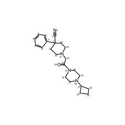 N#CC1(c2ccccc2)CCN(CC(=O)N2CCN(C3CCC3)CC2)CC1